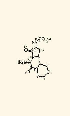 CC[C@H](C)[C@@H](C(=O)N1CCOCC1)N1CC[C@H](NC(=O)O)C1=O